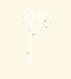 CCC1(C)CC(NC(=O)CCCCC(=O)OC)C(C)C(C)(CC)N1OC(C)c1ccccc1